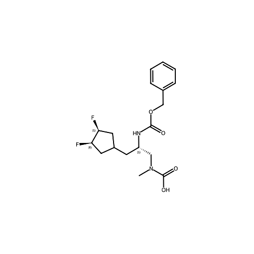 CN(C[C@H](CC1C[C@@H](F)[C@@H](F)C1)NC(=O)OCc1ccccc1)C(=O)O